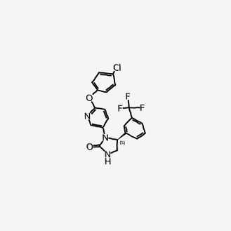 O=C1NC[C@H](c2cccc(C(F)(F)F)c2)N1c1ccc(Oc2ccc(Cl)cc2)nc1